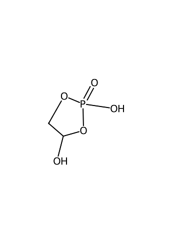 O=P1(O)OCC(O)O1